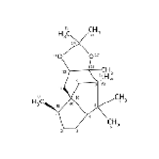 C[C@@H]1CCC2C(C)(C)[C@H]3C[C@]21CC1OC(C)(C)OC13C